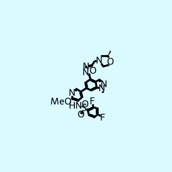 COc1ncc(-c2cc(-c3nnc(CN4CCO[C@H](C)C4)o3)c3cnn(C)c3c2)cc1NS(=O)(=O)c1ccc(F)cc1F